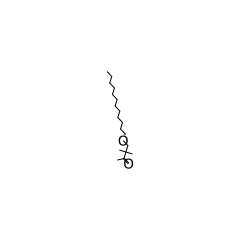 CCCCCCCCCCCCOCC(C)(C)C(C)=O